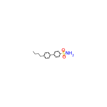 CCCCc1ccc(-c2ccc(S(N)(=O)=O)cc2)cc1